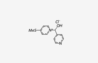 CSc1cc[n+](C(O)c2ccncc2)cc1.[Cl-]